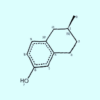 C[C@H]1CCc2cc(O)ccc2C1